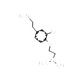 CN(C)CCOc1ccc(CCN)cc1Br